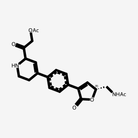 CC(=O)NC[C@H]1C=C(c2ccc(C3=CC(C(=O)COC(C)=O)NCC3)cc2)C(=O)O1